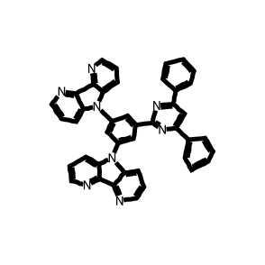 c1ccc(-c2cc(-c3ccccc3)nc(-c3cc(-n4c5cccnc5c5ncccc54)cc(-n4c5cccnc5c5ncccc54)c3)n2)cc1